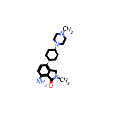 CN1CCN([C@H]2CC[C@@H](c3ccc(N)c4c3CN(C)C4=O)CC2)CC1